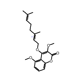 COc1c(OC/C=C(\C)CCC=C(C)C)c2c(OC)cccc2oc1=O